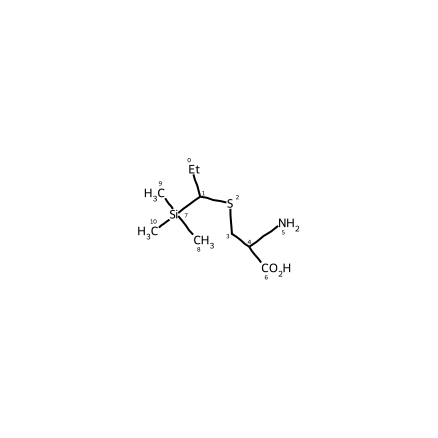 CCC(SCC(N)C(=O)O)[Si](C)(C)C